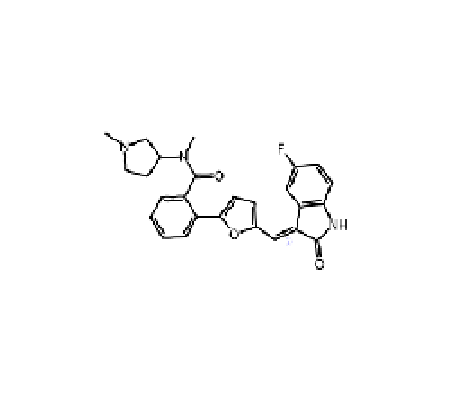 CN1CCC(N(C)C(=O)c2ccccc2-c2ccc(/C=C3/C(=O)Nc4ccc(F)cc43)o2)C1